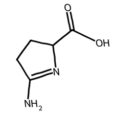 NC1=NC(C(=O)O)CC1